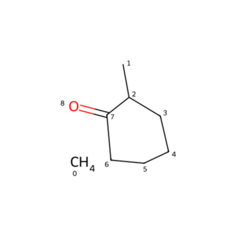 C.CC1CCCCC1=O